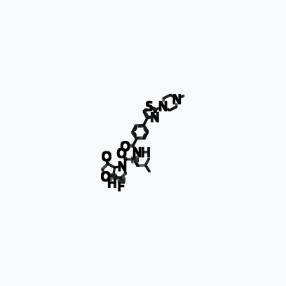 CC(C)C[C@H](NC(=O)c1ccc(-c2csc(N3CCN(C)CC3)n2)cc1)C(=O)N1C[C@H](F)[C@H]2OCC(=O)C21